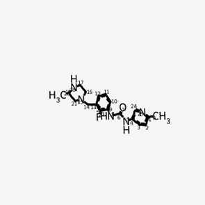 Cc1ccc(NC(=O)Nc2cccc(CN3CCN[C@H](C)C3)c2F)cn1